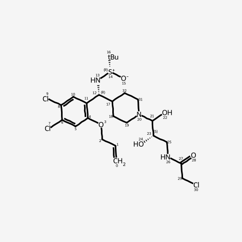 C=CCOc1cc(Cl)c(Cl)cc1[C@H](N[S@@+]([O-])C(C)(C)C)C1CCN(C(O)[C@@H](O)CNC(=O)CCl)CC1